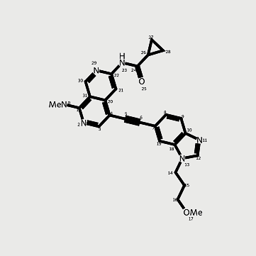 CNc1ncc(C#Cc2ccc3ncn(CCCOC)c3c2)c2cc(NC(=O)C3CC3)ncc12